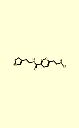 CCNCCC1=CCC(C(=O)NCCC2=CNCC2)=NO1